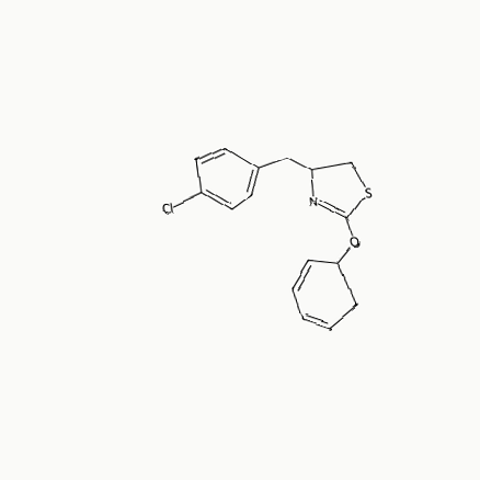 Clc1ccc(CC2CSC(OC3C=CC=CC3)=N2)cc1